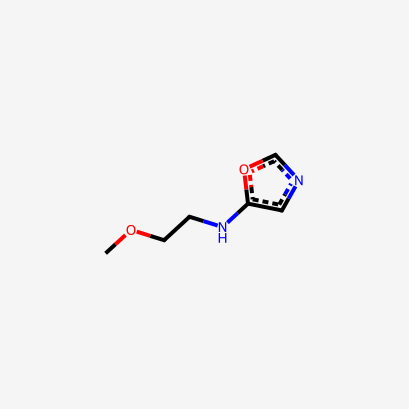 COCCNc1cnco1